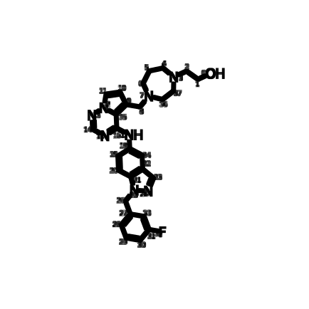 OCCN1CCCN(Cc2ccn3ncnc(Nc4ccc5c(cnn5Cc5cccc(F)c5)c4)c23)CC1